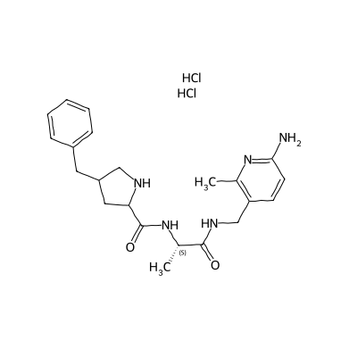 Cc1nc(N)ccc1CNC(=O)[C@H](C)NC(=O)C1CC(Cc2ccccc2)CN1.Cl.Cl